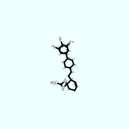 CC1OC2(CCC=CC2CCC2CCC(c3cc(F)c(F)c(F)c3)CC2)O1